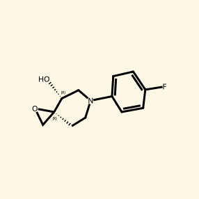 O[C@@H]1CN(c2ccc(F)cc2)CC[C@@]12CO2